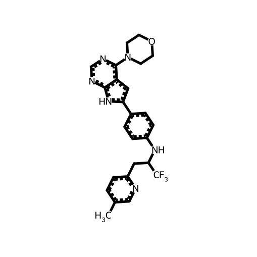 Cc1ccc(CC(Nc2ccc(-c3cc4c(N5CCOCC5)ncnc4[nH]3)cc2)C(F)(F)F)nc1